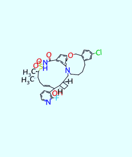 C[C@@H]1[C@@H](C)C/C=C/[C@](O)(c2cccnc2F)[C@@H]2CC[C@H]2CN2CCCCc3cc(Cl)ccc3COc3ccc(cc32)C(=O)NS1(=O)=O